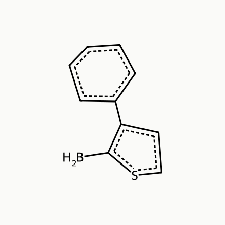 Bc1sccc1-c1ccccc1